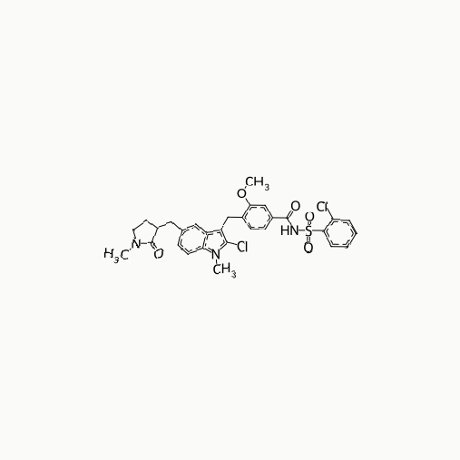 COc1cc(C(=O)NS(=O)(=O)c2ccccc2Cl)ccc1Cc1c(Cl)n(C)c2ccc(CC3CCN(C)C3=O)cc12